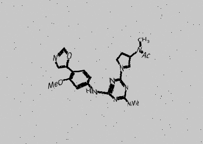 CNc1nc(Nc2ccc(-c3cnco3)c(OC)c2)nc(N2CCC(N(C)C(C)=O)C2)n1